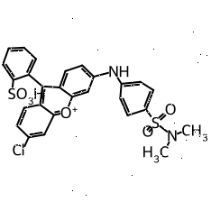 CN(C)S(=O)(=O)c1ccc(Nc2ccc3c(-c4ccccc4S(=O)(=O)O)c4ccc(Cl)cc4[o+]c3c2)cc1